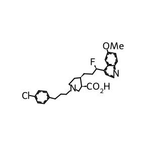 COc1ccc2nccc([C@H](F)CC[C@@H]3CCN(CCCc4ccc(Cl)cc4)C[C@@H]3C(=O)O)c2c1